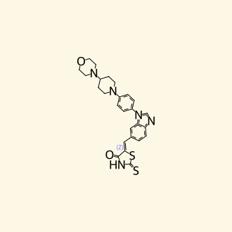 O=C1NC(=S)S/C1=C\c1ccc2ncn(-c3ccc(N4CCC(N5CCOCC5)CC4)cc3)c2c1